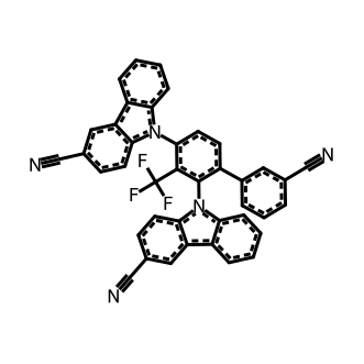 N#Cc1cccc(-c2ccc(-n3c4ccccc4c4cc(C#N)ccc43)c(C(F)(F)F)c2-n2c3ccccc3c3cc(C#N)ccc32)c1